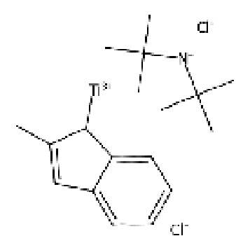 CC(C)(C)[N-]C(C)(C)C.CC1=Cc2ccccc2[CH]1[Ti+3].[Cl-].[Cl-]